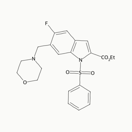 CCOC(=O)c1cc2cc(F)c(CN3CCOCC3)cc2n1S(=O)(=O)c1ccccc1